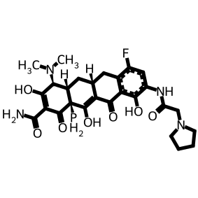 CN(C)[C@@H]1C(O)=C(C(N)=O)C(=O)[C@@]2(P)C(O)=C3C(=O)c4c(O)c(NC(=O)CN5CCCC5)cc(F)c4C[C@H]3C[C@@H]12